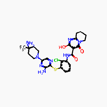 Nc1nc(N2CCC(N)(C(F)(F)F)CC2)cnc1Sc1cccc(NC(=O)c2c(O)nc3n(c2=O)CCCC3)c1Cl